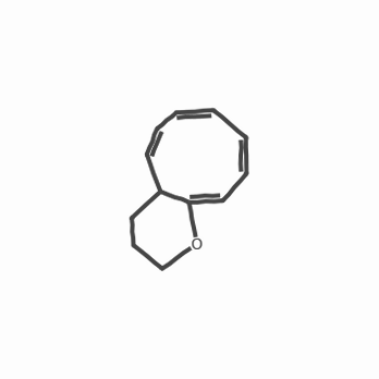 C1=CC=CC2CCCOC2=CC=C1